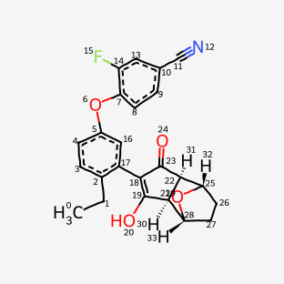 CCc1ccc(Oc2ccc(C#N)cc2F)cc1C1=C(O)[C@H]2[C@@H](C1=O)[C@@H]1CC[C@H]2O1